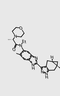 CCN(C(=O)[C@H](C)N1CCOCC1)c1cc2nc(-c3n[nH]c4c3C[C@@H]3C[C@]3(C)C4)[nH]c2cc1C